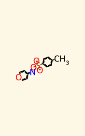 Cc1ccc(S(=O)(=O)ON=c2ccocc2)cc1